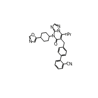 CCCc1c(Cc2ccc(-c3ccccc3C#N)cc2)c(=O)n(C2CCC(c3cnco3)CC2)c2ncnn12